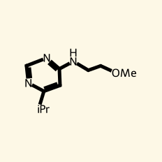 COCCNc1cc(C(C)C)ncn1